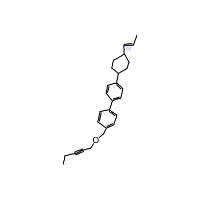 C/C=C/C1CCC(c2ccc(-c3ccc(COCC#CCC)cc3)cc2)CC1